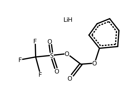 O=C(Oc1ccccc1)OS(=O)(=O)C(F)(F)F.[LiH]